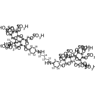 O=S(=O)(O)OC[C@H]1O[C@@H](Oc2ccc(NCCCCNc3ccc(O[C@@H]4O[C@H](COS(=O)(=O)O)[C@@H](O[C@@H]5O[C@H](COS(=O)(=O)O)[C@@H](OS(=O)(=O)O)[C@H](OS(=O)(=O)O)[C@H]5OS(=O)(=O)O)[C@H](OS(=O)(=O)O)[C@H]4OS(=O)(=O)O)cc3)cc2)[C@H](OS(=O)(=O)O)[C@@H](OS(=O)(=O)O)[C@@H]1O[C@@H]1O[C@H](COS(=O)(=O)O)[C@@H](OS(=O)(=O)O)[C@H](OS(=O)(=O)O)[C@H]1OS(=O)(=O)O